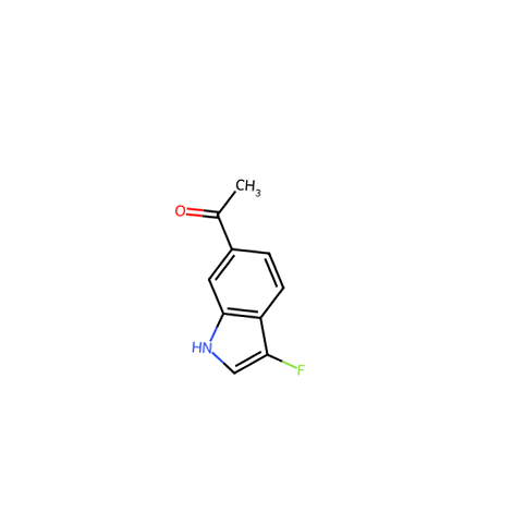 CC(=O)c1ccc2c(F)c[nH]c2c1